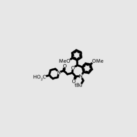 COc1ccc2c(c1)C(c1ccccc1OC)OC(CC(=O)N1CCC(C(=O)O)CC1)C(=O)N2CC(C)(C)C